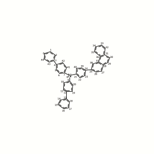 c1ccc(-c2ccc(N(c3ccc(-c4ccccc4)cc3)c3ccc(-c4ccc5ccc6ccccc6c5c4)cc3)cc2)cc1